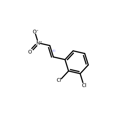 O=[N+]([O-])/C=C/c1cccc(Cl)c1Cl